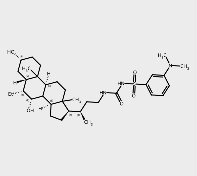 CC[C@H]1[C@@H](O)C2[C@@H]3CC[C@H]([C@H](C)CCNC(=O)NS(=O)(=O)c4cccc(N(C)C)c4)C3(C)CC[C@@H]2C2(C)CC[C@@H](O)C[C@@H]12